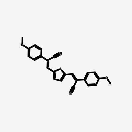 COc1ccc(C(C#N)=Cc2ccc(C=C(C#N)c3ccc(OC)cc3)s2)cc1